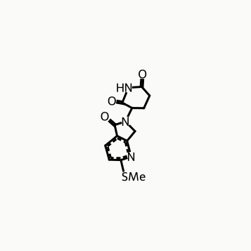 CSc1ccc2c(n1)CN(C1CCC(=O)NC1=O)C2=O